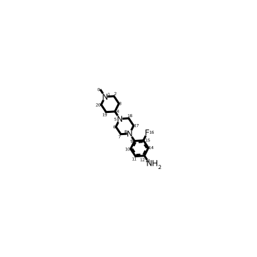 CN1CCC(N2CCN(c3ccc(N)cc3F)CC2)CC1